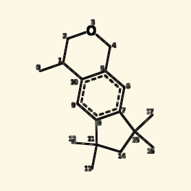 CC1COCc2cc3c(cc21)C(C)(C)CC3(C)C